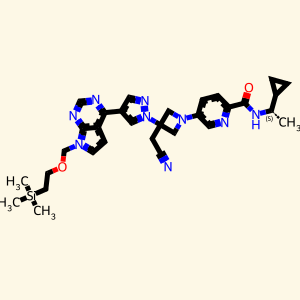 C[C@H](NC(=O)c1ccc(N2CC(CC#N)(n3cc(-c4ncnc5c4ccn5COCC[Si](C)(C)C)cn3)C2)cn1)C1CC1